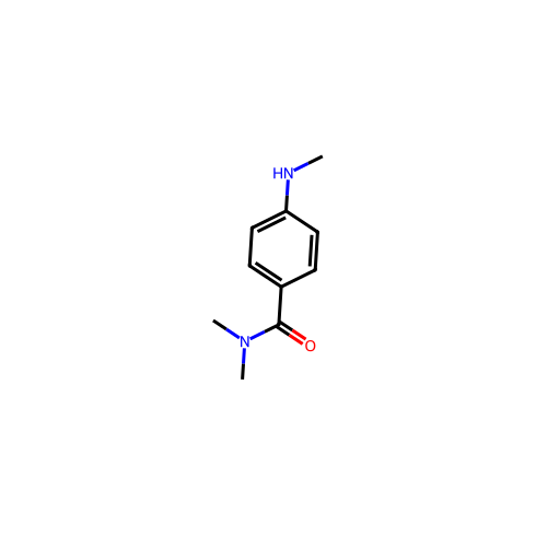 CNc1ccc(C(=O)N(C)C)cc1